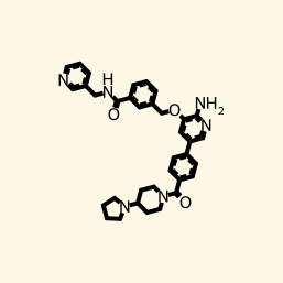 Nc1ncc(-c2ccc(C(=O)N3CCC(N4CCCC4)CC3)cc2)cc1OCc1cccc(C(=O)NCc2cccnc2)c1